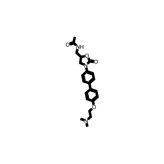 CC(=O)NCC1CN(c2ccc(-c3ccc(OCCN(C)C)cc3)cc2)C(=O)O1